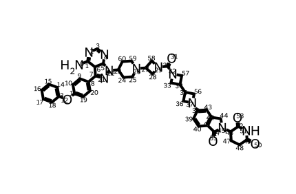 NC1=NC=NC2C1C(c1ccc(Oc3ccccc3)cc1)=NN2C1CCN(C2CN(C(=O)N3CC(C4CN(c5ccc6c(c5)CN(C5CCC(=O)NC5=O)C6=O)C4)C3)C2)CC1